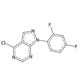 Fc1ccc(-n2ncc3c(Cl)ncnc32)c(F)c1